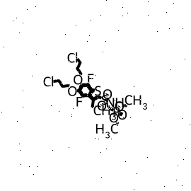 CCOP(=O)(CNS(=O)(=O)c1sc2c(F)c(OCCCCl)c(OCCCCl)c(F)c2c1CC)OCC